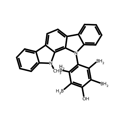 Bc1c(B)c(-n2c3ccccc3c3ccc4c5ccccc5n(C)c4c32)c(B)c(B)c1O